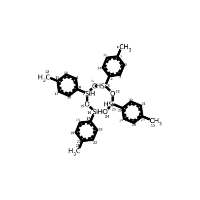 Cc1ccc([SiH]2O[SiH](c3ccc(C)cc3)O[SiH](c3ccc(C)cc3)O[SiH](c3ccc(C)cc3)O2)cc1